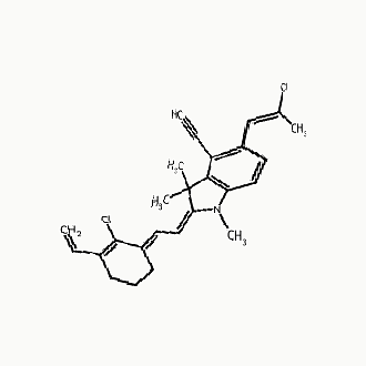 C#Cc1c(/C=C(\C)Cl)ccc2c1C(C)(C)/C(=C\C=C1/CCCC(C=C)=C1Cl)N2C